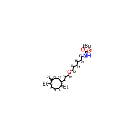 CCC1CCCC(CC)C(CCCOCCCCCCNC(=O)OC(C)(C)C)CCC1C